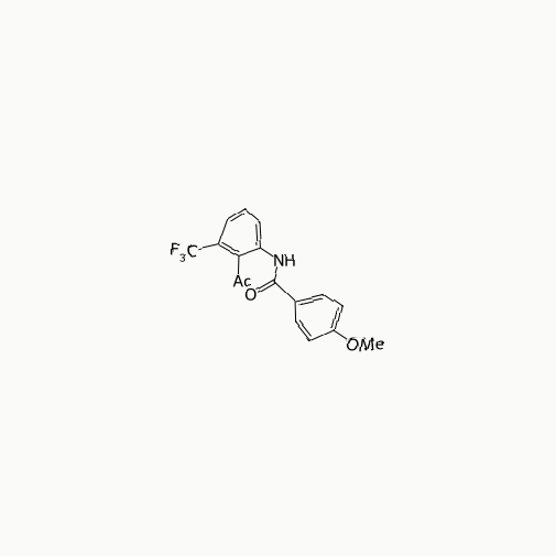 COc1ccc(C(=O)Nc2cccc(C(F)(F)F)c2C(C)=O)cc1